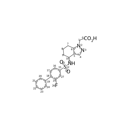 O=C(O)Cn1ncc2c1CCCC2NS(=O)(=O)c1ccc(-c2ccccc2)c(F)c1